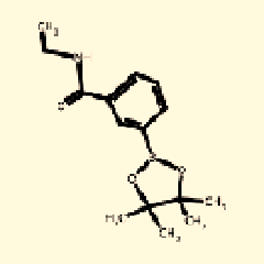 CCNC(=O)c1cccc(B2OC(C)(C)C(C)(C)O2)c1